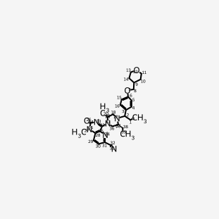 CCC(c1ccc(OCC2CCOCC2)cc1)N1C[C@H](C)N(c2nc(=O)n(C)c3ccc(C#N)nc23)C[C@@H]1CC